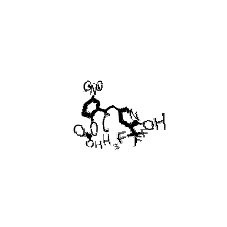 CC(Cc1cnc(O)c(C(F)(F)F)c1)c1cc([N+](=O)[O-])ccc1OC(=O)O